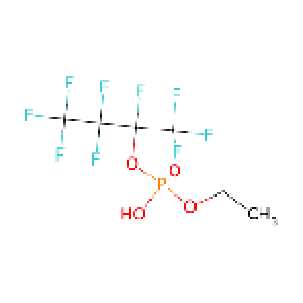 CCOP(=O)(O)OC(F)(C(F)(F)F)C(F)(F)C(F)(F)F